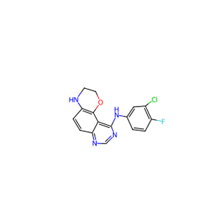 Fc1ccc(Nc2ncnc3ccc4c(c23)OCCN4)cc1Cl